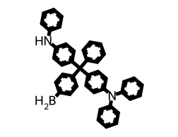 Bc1ccc(C(c2ccccc2)(c2ccc(Nc3ccccc3)cc2)c2ccc(N(c3ccccc3)c3ccccc3)cc2)cc1